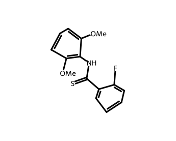 COc1cccc(OC)c1NC(=S)c1ccccc1F